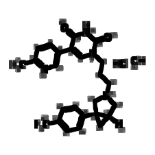 Cc1ccc(-c2cn(CCCN3C[C@@H]4C[C@]4(c4ccc(C(F)(F)F)cc4)C3)c(=O)[nH]c2=O)cn1.Cl.Cl